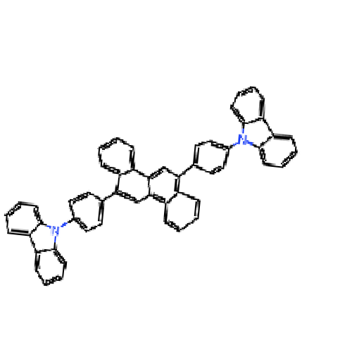 c1ccc2c(c1)c(-c1ccc(-n3c4ccccc4c4ccccc43)cc1)cc1c3ccccc3c(-c3ccc(-n4c5ccccc5c5ccccc54)cc3)cc21